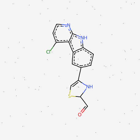 O=CC1NC(c2ccc3[nH]c4nccc(Cl)c4c3c2)=CS1